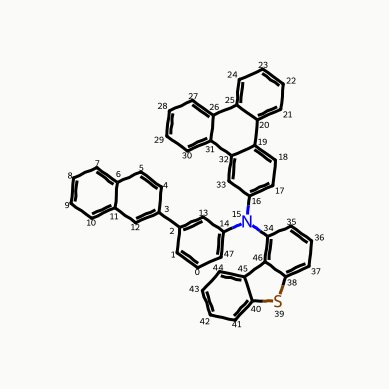 c1cc(-c2ccc3ccccc3c2)cc(N(c2ccc3c4ccccc4c4ccccc4c3c2)c2cccc3sc4ccccc4c23)c1